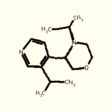 CC(C)c1cnccc1C1COCCN1C(C)C